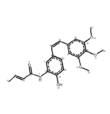 C/C=C/C(=O)Nc1cc(/C=C\c2cc(OC)c(OC)c(OC)c2)ccc1O